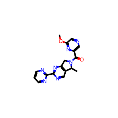 COc1cncc(C(=O)N2Cc3nc(-c4ncccn4)ncc3C2C)n1